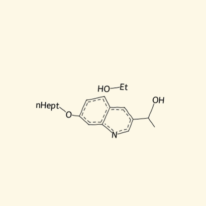 CCCCCCCOc1ccc2cc(C(C)O)cnc2c1.CCO